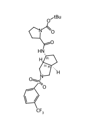 CC(C)(C)OC(=O)N1CCCC1C(=O)N[C@@H]1CC[C@H]2CN(S(=O)(=O)c3cccc(C(F)(F)F)c3)C[C@H]21